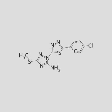 CSc1nc(N)n(-c2nnc(-c3ccc(Cl)cc3)s2)n1